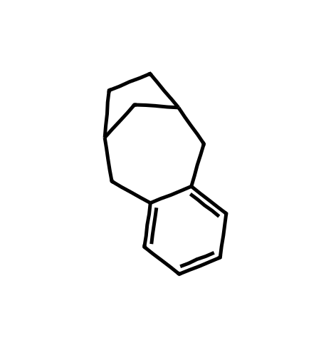 c1ccc2c(c1)CC1CCC(C2)C1